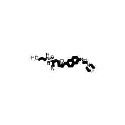 N#C/C(=C\c1ccc(-c2ccc3cc(NCCN4CCOCC4)ccc3c2)o1)S(=O)(=O)NCCCO